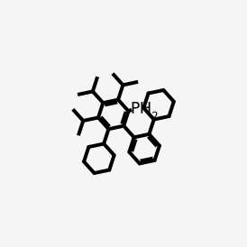 CC(C)c1c(P)c(-c2ccccc2C2CCCCC2)c(C2CCCCC2)c(C(C)C)c1C(C)C